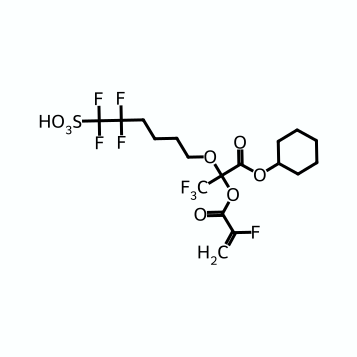 C=C(F)C(=O)OC(OCCCCC(F)(F)C(F)(F)S(=O)(=O)O)(C(=O)OC1CCCCC1)C(F)(F)F